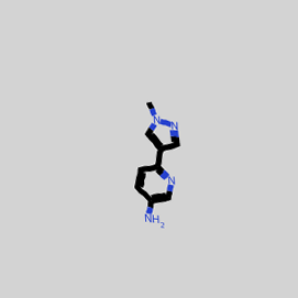 Cn1cc(-c2ccc(N)cn2)cn1